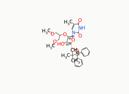 COCC(COC)O[C@@H]1[C@H](O)[C@@H](CO[Si](c2ccccc2)(c2ccccc2)C(C)(C)C)O[C@H]1n1cc(C)c(=O)[nH]c1=O